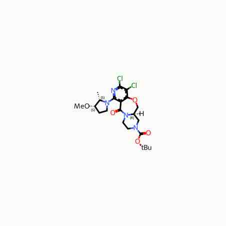 CO[C@H]1CCN(c2nc(Cl)c(Cl)c3c2C(=O)N2CCN(C(=O)OC(C)(C)C)C[C@@H]2CO3)[C@H]1C